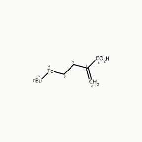 C=C(CC[Te]CCCC)C(=O)O